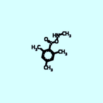 CNOS(=O)c1c(C)cc(C)cc1C